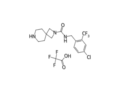 O=C(NCc1ccc(Cl)cc1C(F)(F)F)N1CC2(CCNCC2)C1.O=C(O)C(F)(F)F